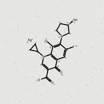 O=C([O-])c1cn(C2CC2)c2c(Cl)c(N3CC[C@@H](O)C3)c(F)cc2c1=O.[Ag+]